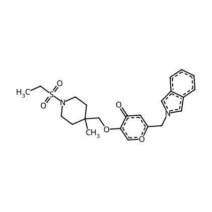 CCS(=O)(=O)N1CCC(C)(COc2coc(Cn3cc4ccccc4c3)cc2=O)CC1